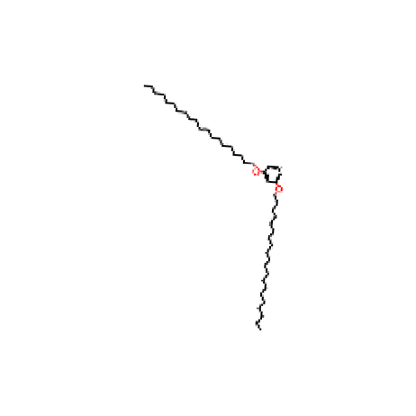 CCCCCCCCCCCCCCCCCCCCOc1c[c]cc(OCCCCCCCCCCCCCCCCCCCC)c1